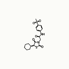 CS(=O)(=O)c1ccc(NC(=O)CN2C(=O)SC(=C3CCCCC3)C2=O)cc1